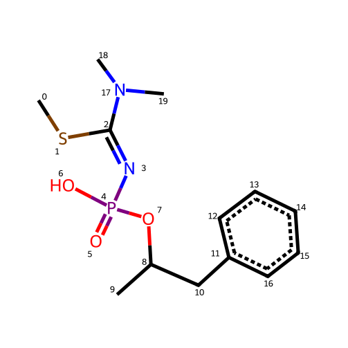 CSC(=NP(=O)(O)OC(C)Cc1ccccc1)N(C)C